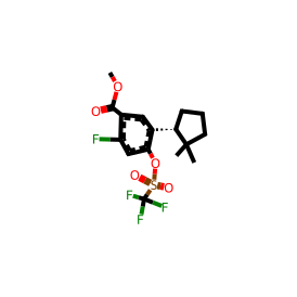 COC(=O)c1cc([C@@H]2CCCC2(C)C)c(OS(=O)(=O)C(F)(F)F)cc1F